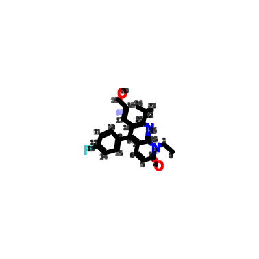 CCn1c(=O)ccc2c(-c3ccc(F)cc3)c(/C=C/C=O)c(C(C)C)nc21